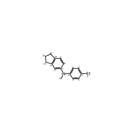 CCc1ccc(N(C)c2ccc3c(c2)CCC3)cc1